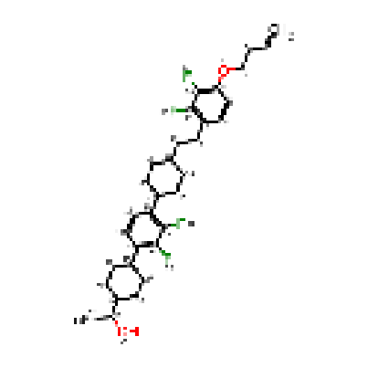 C=CCCOc1ccc(CCC2CCC(c3ccc(C4CCC(C(O)CCC)CC4)c(F)c3F)CC2)c(F)c1F